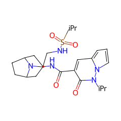 CC(C)n1c(=O)c(C(=O)NC2CC3CCC(C2)N3CCNS(=O)(=O)C(C)C)cc2cccn21